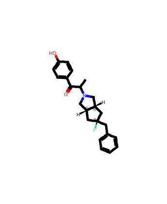 CC(C(=O)c1ccc(O)cc1)N1C[C@@H]2C[C@](F)(Cc3ccccc3)C[C@@H]2C1